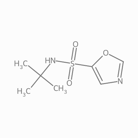 CC(C)(C)NS(=O)(=O)c1cnco1